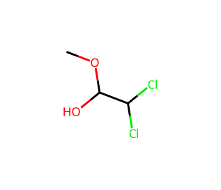 COC(O)C(Cl)Cl